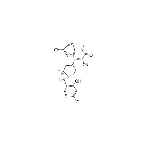 C[C@@H]1CN(c2c(C#N)c(=O)n(C)c3ccc(Cl)nc23)CC[C@@H]1Nc1ccc(F)cc1O